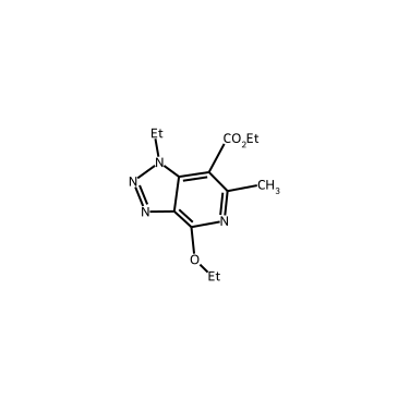 CCOC(=O)c1c(C)nc(OCC)c2nnn(CC)c12